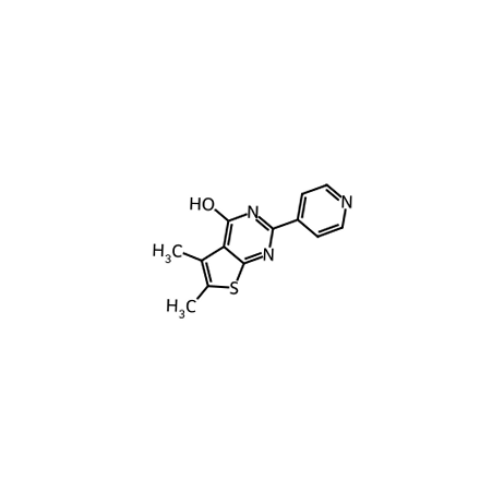 Cc1sc2nc(-c3ccncc3)nc(O)c2c1C